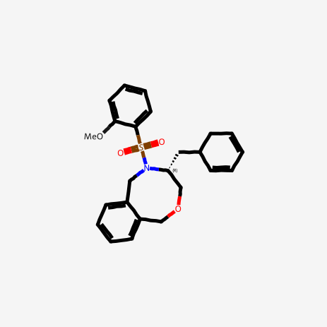 COc1ccccc1S(=O)(=O)N1Cc2ccccc2COC[C@H]1CC1C=CC=CC1